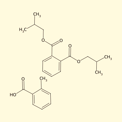 CC(C)COC(=O)c1ccccc1C(=O)OCC(C)C.Cc1ccccc1C(=O)O